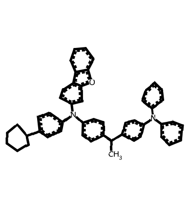 CC(c1ccc(N(c2ccccc2)c2ccccc2)cc1)c1ccc(N(c2ccc(C3CCCCC3)cc2)c2ccc3c(c2)oc2ccccc23)cc1